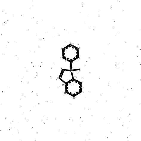 C[P]1(c2ccccc2)C=Cc2ccccc21